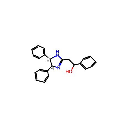 OC(CC1=N[C@@H](c2ccccc2)[C@@H](c2ccccc2)N1)c1ccccc1